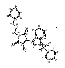 O=C1C(Br)=C(c2cn(S(=O)(=O)c3ccccc3)c3ncccc23)C(=O)N1COCc1ccccc1